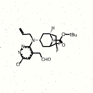 C=CCN(c1nnc(Cl)cc1CC=O)[C@H]1CC2N(C(=O)OC(C)(C)C)[C@@H](C1)CC2(F)F